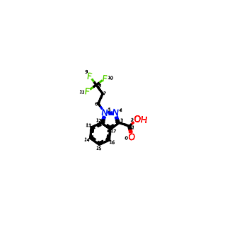 O=C(O)c1nn(CCC(F)(F)F)c2ccccc12